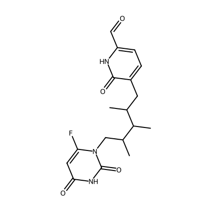 CC(Cc1ccc(C=O)[nH]c1=O)C(C)C(C)Cn1c(F)cc(=O)[nH]c1=O